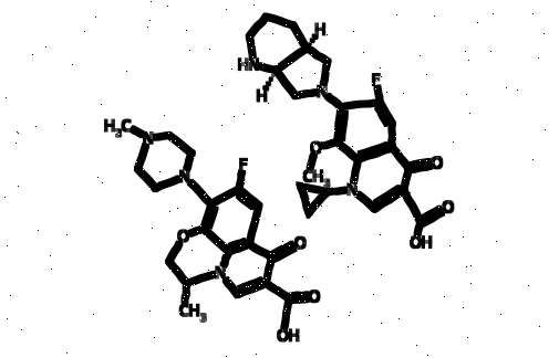 CC1COc2c(N3CCN(C)CC3)c(F)cc3c(=O)c(C(=O)O)cn1c23.COc1c(N2C[C@@H]3CCCN[C@@H]3C2)c(F)cc2c(=O)c(C(=O)O)cn(C3CC3)c12